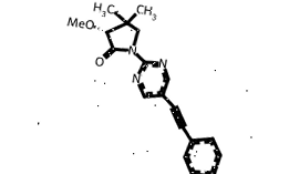 CO[C@H]1C(=O)N(c2ncc(C#Cc3ccccc3)cn2)CC1(C)C